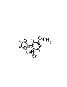 COc1ccc([N+](=O)[O-])c(C2OCCO2)c1